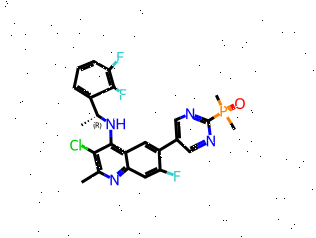 Cc1nc2cc(F)c(-c3cnc(P(C)(C)=O)nc3)cc2c(N[C@H](C)c2cccc(F)c2F)c1Cl